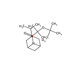 CC(C)N1CC2CC(C1)N2C(=O)C(C)(C)OC(C)(C)C